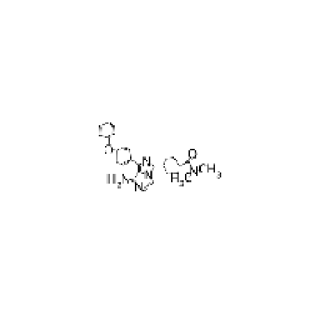 CN(C)C(=O)[C@H]1CC[C@H](c2nc(-c3ccc(Oc4ccccc4)cc3)c3c(N)nccn32)CC1